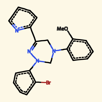 COc1ccccc1N1CC(c2ccccn2)=NN(c2ccccc2Br)C1